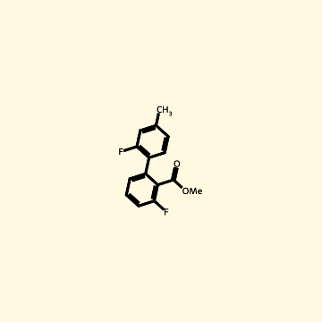 COC(=O)c1c(F)cccc1-c1ccc(C)cc1F